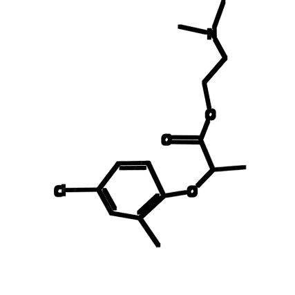 Cc1cc(Cl)ccc1OC(C)C(=O)OCCN(C)C